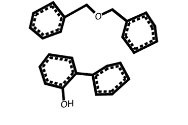 Oc1ccccc1-c1ccccc1.c1ccc(COCc2ccccc2)cc1